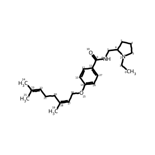 CCN1CCCC1CNC(=O)c1ccc(OCC=C(C)CCC=C(C)C)cc1